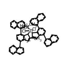 CC1=Cc2c(-c3cccc4ccccc34)ccc(-c3cccc4ccccc34)c2[CH]1[Zr]([Cl])([Cl])([CH]1C(C)=Cc2c(-c3cccc4ccccc34)ccc(-c3cccc4ccccc34)c21)[SiH](C)C